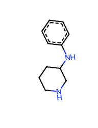 c1ccc(NC2CCCNC2)cc1